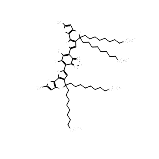 CCCCCCCCCCCCCCCCCCC1(CCCCCCCCCCCCCCCCCC)Oc2cc(Br)sc2-c2sc(-c3c(F)c(F)c(-c4cc5c(s4)-c4sc(Br)cc4OC5(CCCCCCCCCCCCCCCCCC)CCCCCCCCCCCCCCCCCC)c4nsnc34)cc21